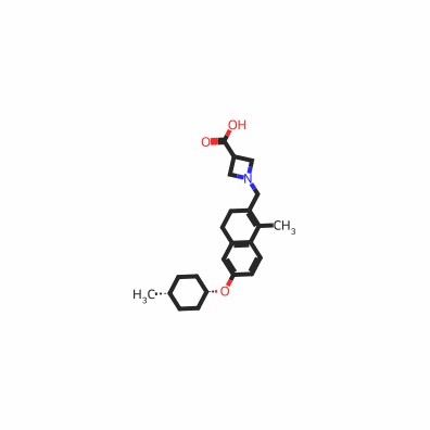 CC1=C(CN2CC(C(=O)O)C2)CCc2cc(O[C@H]3CC[C@@H](C)CC3)ccc21